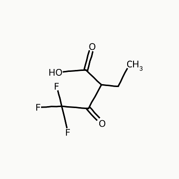 CCC(C(=O)O)C(=O)C(F)(F)F